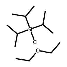 CC(C)[Si](Cl)(C(C)C)C(C)C.CCOCC